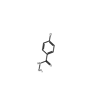 NNC(=S)c1ccc(Cl)cc1